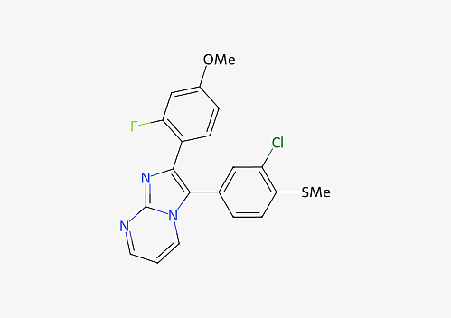 COc1ccc(-c2nc3ncccn3c2-c2ccc(SC)c(Cl)c2)c(F)c1